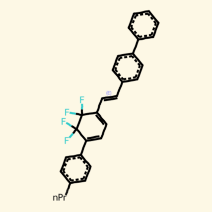 CCCc1ccc(C2=CC=C(/C=C/c3ccc(-c4ccccc4)cc3)C(F)(F)C2(F)F)cc1